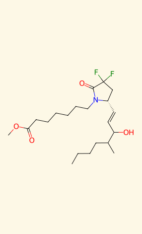 CCCCC(C)C(O)C=C[C@H]1CC(F)(F)C(=O)N1CCCCCCC(=O)OC